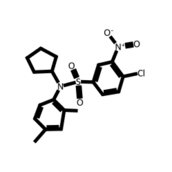 Cc1ccc(N(C2CCCC2)S(=O)(=O)c2ccc(Cl)c([N+](=O)[O-])c2)c(C)c1